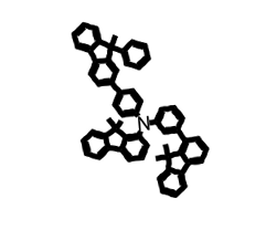 CC1(C)c2ccccc2-c2cccc(-c3cccc(N(c4ccc(-c5ccc6c(c5)C(C)(c5ccccc5)c5ccccc5-6)cc4)c4cccc5c4C(C)(C)c4ccccc4-5)c3)c21